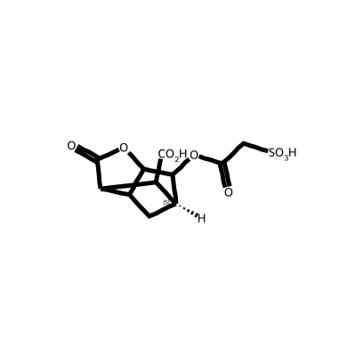 O=C(CS(=O)(=O)O)OC1C2OC(=O)C3C2C[C@H]1C3C(=O)O